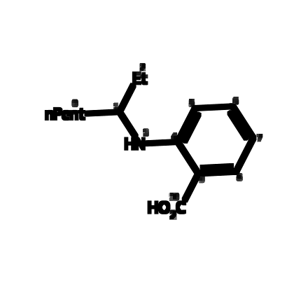 CCCCCC(CC)Nc1ccccc1C(=O)O